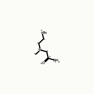 CCCCCCN(C)CC(N)=O